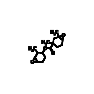 CC1C(OC(=O)C2(C)CCC3OC3(C)C2)CCC2OC21